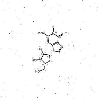 CNc1nc2c(ncn2[C@@H]2O[C@H](CO)[C@@H](O)[C@H]2O)c(=O)n1C